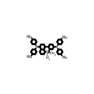 CC(C)(C)c1ccc(B(c2ccc(C(C)(C)C)cc2)c2ccc3c(c2)[Si](C)(C)c2cccc4c(B(c5ccc(C(C)(C)C)cc5)c5ccc(C(C)(C)C)cc5)ccc-3c24)cc1